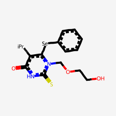 CC(C)c1c([Se]c2ccccc2)n(COCCO)c(=S)[nH]c1=O